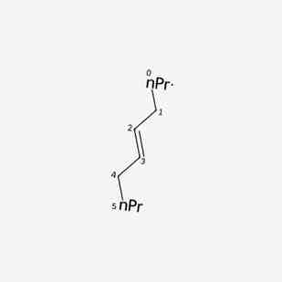 CC[CH]CC=CCCCC